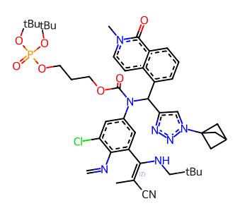 C=Nc1c(Cl)cc(N(C(=O)OCCCOP(=O)(OC(C)(C)C)OC(C)(C)C)C(c2cn(C34CC(C3)C4)nn2)c2cccc3c(=O)n(C)ccc23)cc1/C(NCC(C)(C)C)=C(\C)C#N